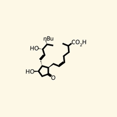 CCCC[C@H](C)[C@@H](O)/C=C/[C@H]1[C@H](O)CC(=O)[C@@H]1C/C=C\CCC(C)C(=O)O